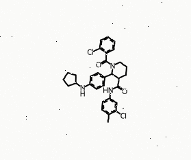 Cc1ccc(NC(=O)C2CCCN(C(=O)c3ccccc3Cl)C2c2ccc(NC3CCCC3)cc2)cc1Cl